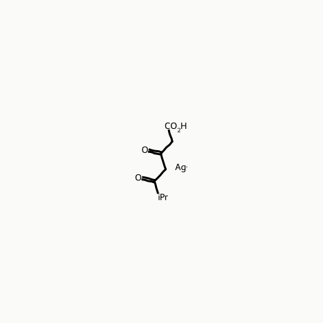 CC(C)C(=O)CC(=O)CC(=O)O.[Ag]